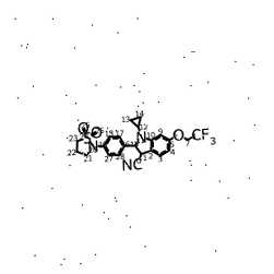 N#CC1c2ccc(OCC(F)(F)F)cc2N(C2CC2)C1c1ccc(N2CCCS2(=O)=O)cc1